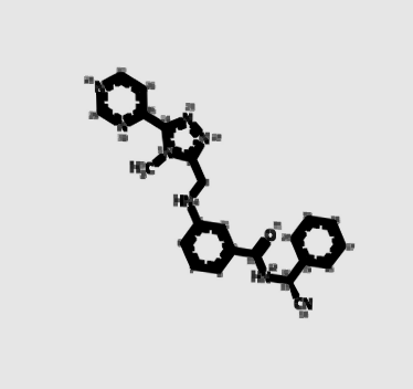 Cn1c(CNc2cccc(C(=O)N[C@H](C#N)c3ccccc3)c2)nnc1-c1ccncn1